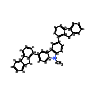 Cn1c2ccc(-c3cccc4c3Cc3ccccc3-4)cc2c2cc(-c3cccc4c3Cc3ccccc3-4)ccc21